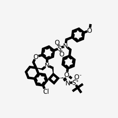 COc1ccc(CN(Cc2ccc(OC)cc2)S(=O)(=O)c2ccc3c(c2)N(C[C@@H]2CC[C@H]2/C=N/[S+]([O-])C(C)(C)C)C[C@@]2(CCCc4cc(Cl)ccc42)CO3)cc1